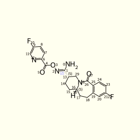 N/C(=N\OC(=O)c1ccc(F)cn1)[C@H]1CC[C@H]2CCc3cc(F)ccc3C(=O)N2C1